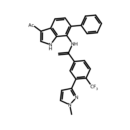 C=C(Nc1c(-c2ccccc2)ccc2c(C(C)=O)c[nH]c12)c1ccc(C(F)(F)F)c(-c2ccn(C)n2)c1